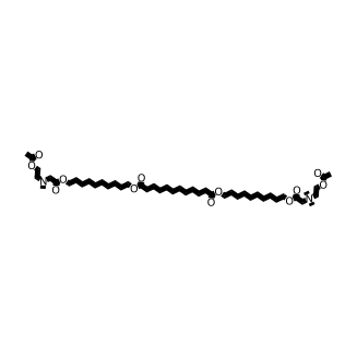 CC(=O)OCCN(C)CC(=O)OCCCCCCCCCCOC(=O)CCCCCCCCCCC(=O)OCCCCCCCCCCOC(=O)C[N+](C)(C)CCOC(C)=O